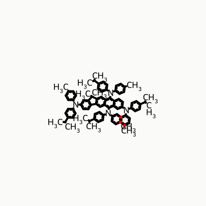 Cc1ccc(N(c2ccc(C(C)C)cc2)c2ccc3c(c2)C(C)(C)c2cc4c(N(c5ccc(C)cc5)c5ccc(C(C)C)cc5)c5ccc(N(c6ccc(C)cc6)c6ccc(C(C)C)cc6)cc5c(N(c5ccc(C)cc5)c5ccc(C(C)C)cc5)c4cc2-3)cc1